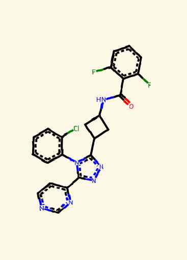 O=C(NC1CC(c2nnc(-c3ccncn3)n2-c2ccccc2Cl)C1)c1c(F)cccc1F